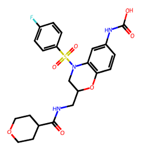 O=C(O)Nc1ccc2c(c1)N(S(=O)(=O)c1ccc(F)cc1)CC(CNC(=O)C1CCOCC1)O2